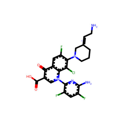 NC/C=C1\CCCN(c2c(F)cc3c(=O)c(C(=O)O)cn(-c4nc(N)c(F)cc4F)c3c2Cl)C1